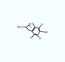 NC(Cc1c(Cl)c(Cl)c(O)c(Cl)c1Cl)C(=O)O